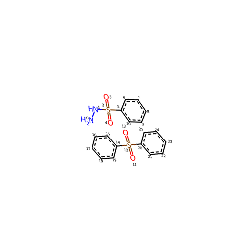 NNS(=O)(=O)c1ccccc1.O=S(=O)(c1ccccc1)c1ccccc1